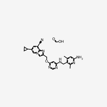 Cc1cc(N)nc(C)c1CNc1cc(OCc2cn3cc(C4CC4)cc(C#N)c3n2)ncn1.O=CO